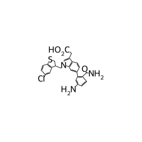 NC(=O)c1ccc(N)cc1-c1ccc2c(CC(=O)O)cn(CC3CSc4ccc(Cl)cc43)c2c1